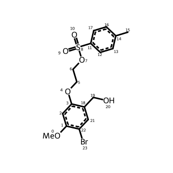 COc1cc(OCCOS(=O)(=O)c2ccc(C)cc2)c(CO)cc1Br